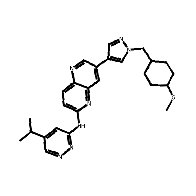 COC1CCC(Cn2cc(-c3cnc4ccc(Nc5cc(C(C)C)cnn5)nc4c3)cn2)CC1